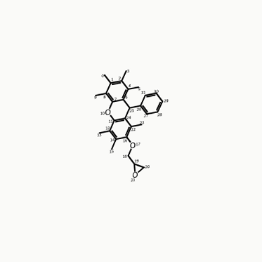 Cc1c(C)c(C)c2c(c1C)Oc1c(C)c(C)c(OCC3CO3)c(C)c1C2c1ccccc1